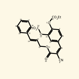 CCOC(=O)Oc1ccc(C=C(C#N)C(=O)OCC=Cc2ccccc2)cc1OC(=O)OCC